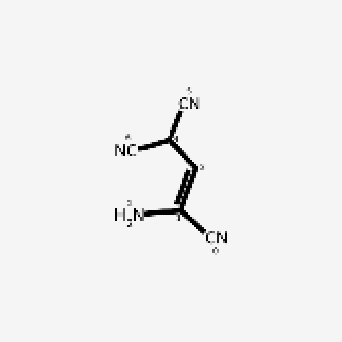 N#CC(N)=CC(C#N)C#N